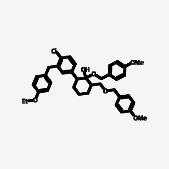 CCOc1ccc(Cc2cc(C3CCCC(COCc4ccc(OC)cc4)C3(O)OCc3ccc(OC)cc3)ccc2Cl)cc1